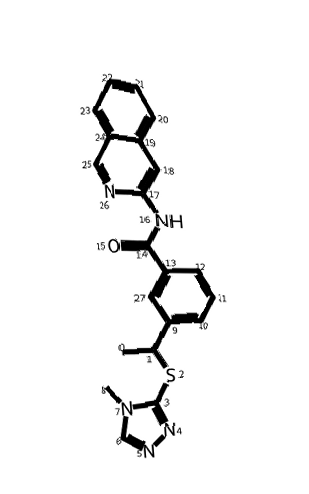 CC(Sc1nncn1C)c1cccc(C(=O)Nc2cc3ccccc3cn2)c1